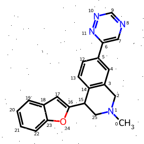 CN1Cc2cc(-c3cncnn3)ccc2C(c2cc3ccccc3o2)C1